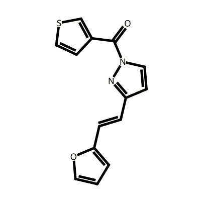 O=C(c1ccsc1)n1ccc(C=Cc2ccco2)n1